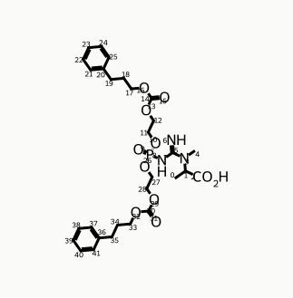 CC(C(=O)O)N(C)C(=N)NP(=O)(OCCOC(=O)OCCCc1ccccc1)OCCOC(=O)OCCCc1ccccc1